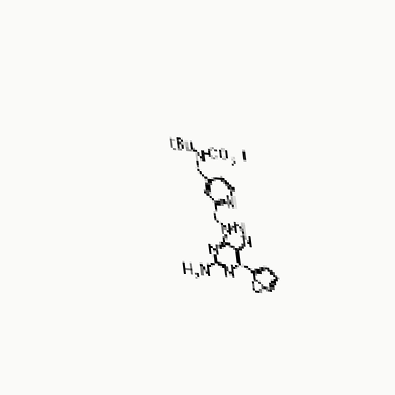 CC(C)(C)N(Cc1ccnc(Cn2nnc3c(-c4ccco4)nc(N)nc32)c1)C(=O)O